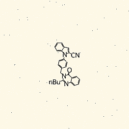 CCCCc1nc2ccccc2c(=O)n1Cc1ccc(-n2c(C#N)cc3ccccc32)cc1